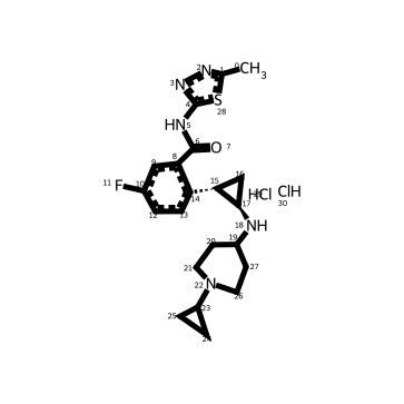 Cc1nnc(NC(=O)c2cc(F)ccc2[C@@H]2C[C@H]2NC2CCN(C3CC3)CC2)s1.Cl.Cl